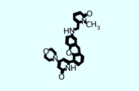 Cn1c(CNc2ccc3c(c2)Cc2cccc(-c4cc(N5CCOCC5)cc(=O)[nH]4)c2O3)cccc1=O